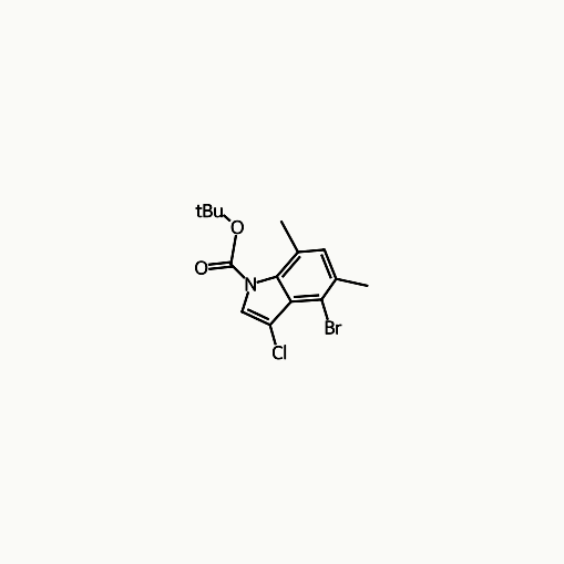 Cc1cc(C)c2c(c(Cl)cn2C(=O)OC(C)(C)C)c1Br